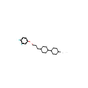 CCCCCC1CCC(C2CCC(CCCOc3ccc(F)c(F)c3)CC2)CC1